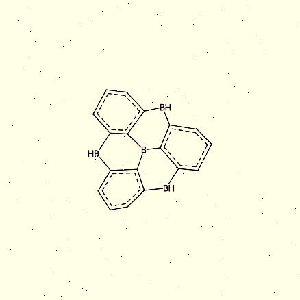 B1c2cccc3c2B2c4c1cccc4Bc1cccc(c12)B3